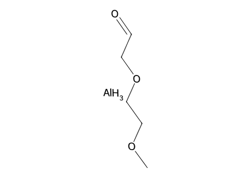 COCCOCC=O.[AlH3]